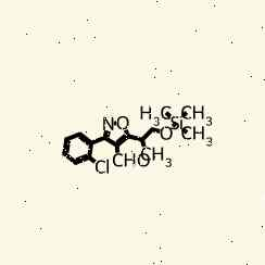 CC(CO[Si](C)(C)C)c1onc(-c2ccccc2Cl)c1C=O